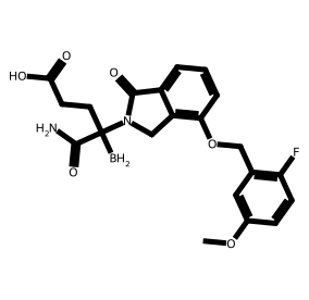 BC(CCC(=O)O)(C(N)=O)N1Cc2c(OCc3cc(OC)ccc3F)cccc2C1=O